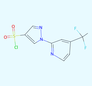 CC(F)(F)c1ccnc(-n2cc(S(=O)(=O)Cl)cn2)c1